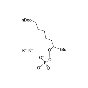 CCCCCCCCCCCCCCCC(OOP(=O)([O-])[O-])C(C)(C)C.[K+].[K+]